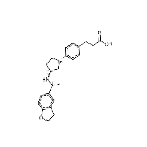 C[C@@H](N[C@H]1CC[C@H](c2ccc(CCC(=O)O)cc2)C1)c1ccc2c(c1)CCO2